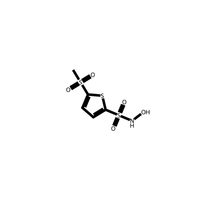 CS(=O)(=O)c1ccc(S(=O)(=O)NO)s1